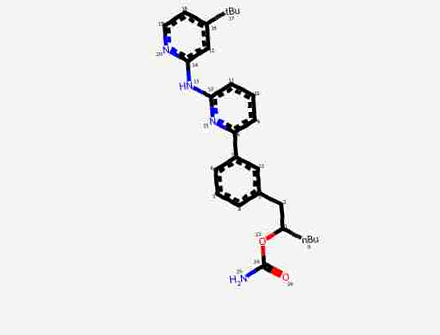 CCCCC(Cc1cccc(-c2cccc(Nc3cc(C(C)(C)C)ccn3)n2)c1)OC(N)=O